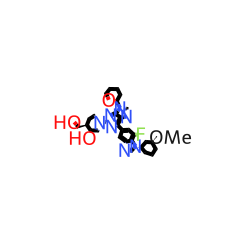 CO[C@@H]1CCC[C@@H](n2cnc3cc(-c4nc(N5CC[C@H](CO)[C@@H](O)C5)nc5c4ncn5C4CCCCO4)cc(F)c32)C1